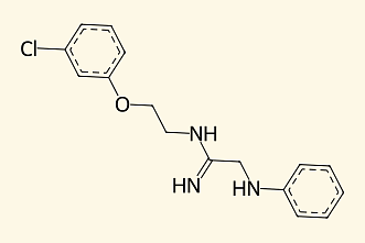 N=C(CNc1ccccc1)NCCOc1cccc(Cl)c1